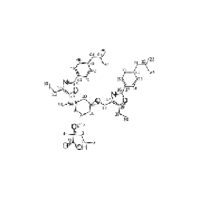 CCCC(C)(OC[C@@H]1CCC[C@H](OCc2nc(-c3ccc(CC(C)C)cc3)oc2CC)C1)C(=O)O.CCc1oc(-c2ccc(CC(C)C)cc2)nc1CI